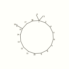 CC1(C)CCCCCCCCCCCCC(I)CC1